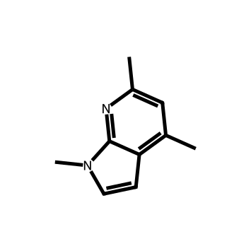 Cc1cc(C)c2ccn(C)c2n1